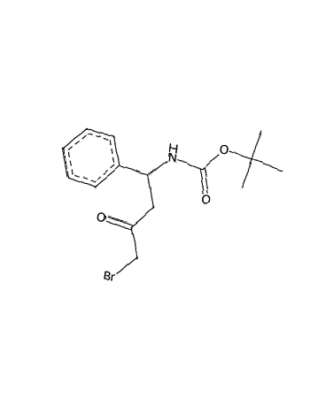 CC(C)(C)OC(=O)NC(CC(=O)CBr)c1ccccc1